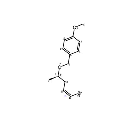 COc1ccc(CO[C@H](C)C/C=C\Br)cc1